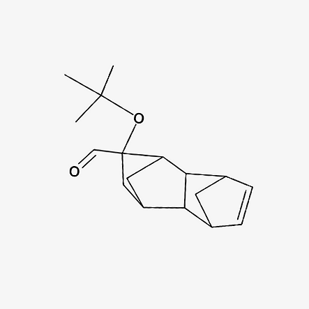 CC(C)(C)OC1(C=O)CC2CC1C1C3C=CC(C3)C21